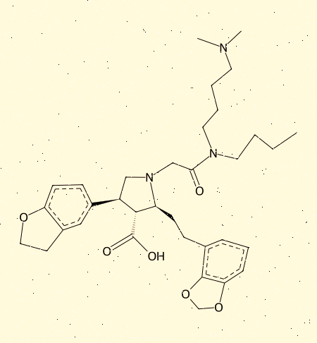 CCCCN(CCCCN(C)C)C(=O)CN1C[C@H](c2ccc3c(c2)CCO3)[C@@H](C(=O)O)[C@@H]1CCc1cccc2c1OCO2